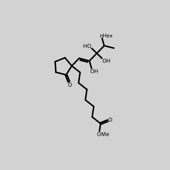 CCCCCCC(C)C(O)(O)C(O)=CC1(CCCCCCC(=O)OC)CCCC1=O